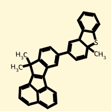 CC1(C)C2=C(c3cc(C4=CC5c6ccccc6SC5(C)C=C4)ccc31)c1cccc3cccc2c13